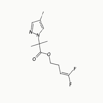 Cc1cnn(C(C)(C)C(=O)OCCC=C(F)F)c1